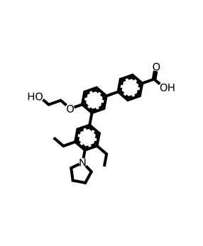 CCc1cc(-c2cc(-c3ccc(C(=O)O)cc3)ccc2OCCO)cc(CC)c1N1CCCC1